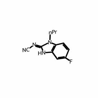 CCCn1/c(=N/C#N)[nH]c2cc(F)ccc21